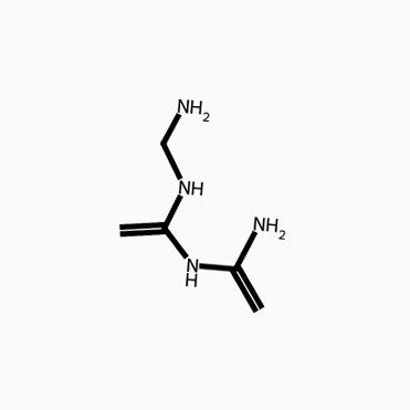 C=C(N)NC(=C)NCN